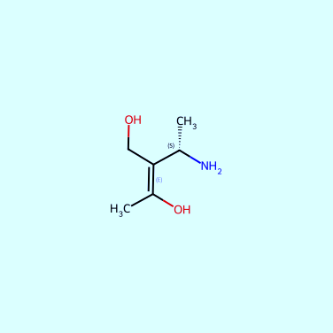 C/C(O)=C(\CO)[C@H](C)N